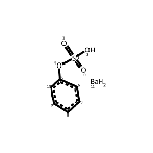 O=S(=O)(O)Oc1ccccc1.[BaH2]